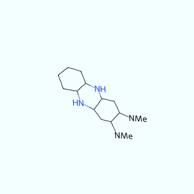 CNC1CC2NC3CCCCC3NC2CC1NC